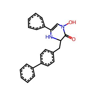 O=C1C(Cc2ccc(-c3ccccc3)cc2)NC(c2ccccc2)=CN1O